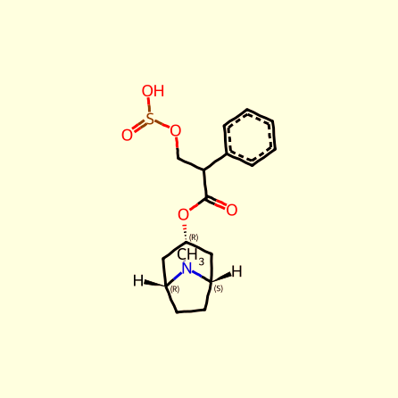 CN1[C@@H]2CC[C@H]1C[C@@H](OC(=O)C(COS(=O)O)c1ccccc1)C2